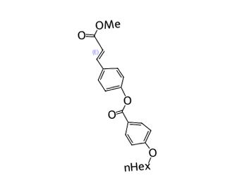 CCCCCCOc1ccc(C(=O)Oc2ccc(/C=C/C(=O)OC)cc2)cc1